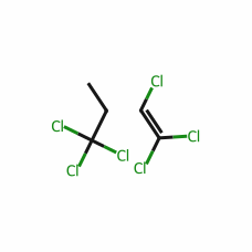 CCC(Cl)(Cl)Cl.ClC=C(Cl)Cl